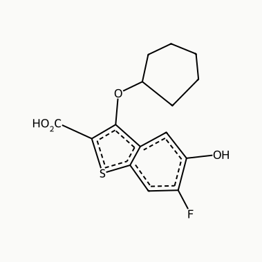 O=C(O)c1sc2cc(F)c(O)cc2c1OC1CCCCC1